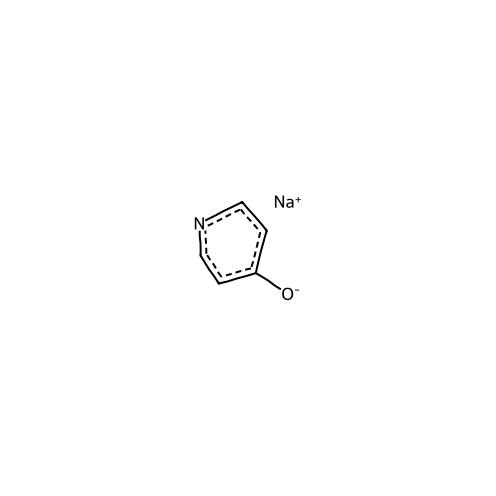 [Na+].[O-]c1ccncc1